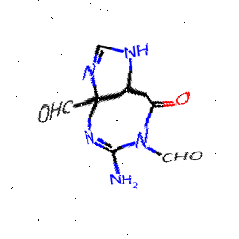 NC1=NC2(C=O)N=CNC2C(=O)N1C=O